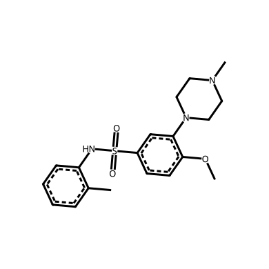 COc1ccc(S(=O)(=O)Nc2ccccc2C)cc1N1CCN(C)CC1